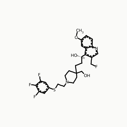 COc1ccc2ncc(CF)c([C@@H](O)CCC3(CO)CCN(CCSc4cc(F)c(F)c(F)c4)CC3)c2c1